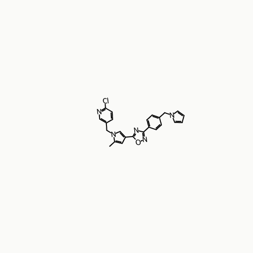 Cc1cc(-c2nc(-c3ccc(Cn4cccc4)cc3)no2)cn1Cc1ccc(Cl)nc1